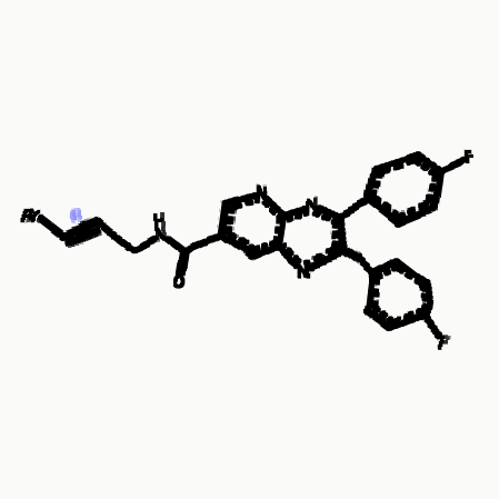 O=C(NC/C=C/Br)c1cnc2nc(-c3ccc(F)cc3)c(-c3ccc(F)cc3)nc2c1